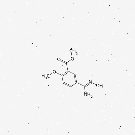 COC(=O)c1cc(/C(N)=N/O)ccc1OC